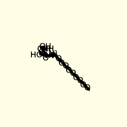 CCOCCOCCOCCOCCOCCOCCOCCOCCOCCn1cnc(CNC(=O)C(CC(=O)O)SCC(N)C(=O)O)c1